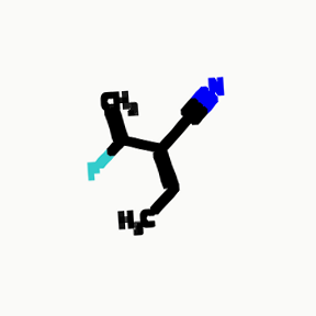 C=C(F)/C(C#N)=C\C